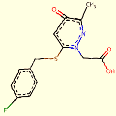 Cc1nn(CC(=O)O)c(SCc2ccc(F)cc2)cc1=O